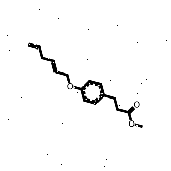 C=CCC=CCOc1ccc(CCC(=O)OC)cc1